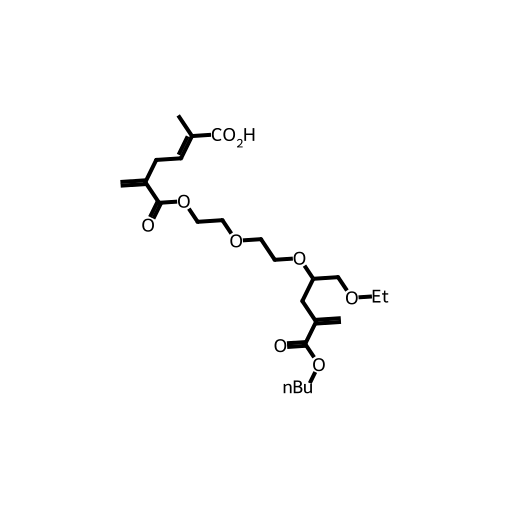 C=C(CC=C(C)C(=O)O)C(=O)OCCOCCOC(COCC)CC(=C)C(=O)OCCCC